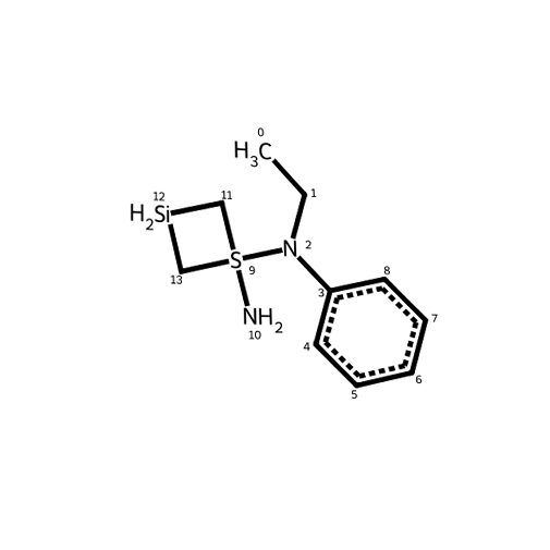 CCN(c1ccccc1)S1(N)C[SiH2]C1